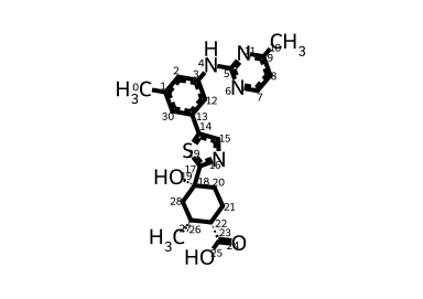 Cc1cc(Nc2nccc(C)n2)cc(-c2cnc([C@@]3(O)CC[C@H](C(=O)O)[C@H](C)C3)s2)c1